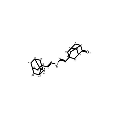 O=C1C2CC3CC1CC(C=COC=CC14CC5CC(C1)C(=O)C(C5)C4)(C3)C2